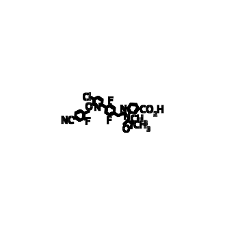 CC1(C)COCC1n1c(Cc2cc(F)c(-c3ccc(Cl)c(OCc4ccc(C#N)cc4F)n3)cc2F)nc2ccc(C(=O)O)cc21